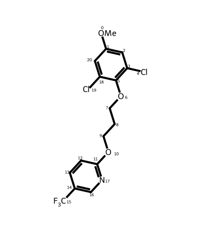 COc1cc(Cl)c(OCCCOc2ccc(C(F)(F)F)cn2)c(Cl)c1